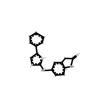 O=C1Cc2cc(Nc3ncc(-c4ccccc4)o3)ccc2N1